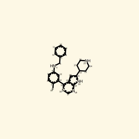 Fc1ccc(NCc2ccccc2)cc1-c1ncnc2[nH]c(C3CCNCC3)cc12